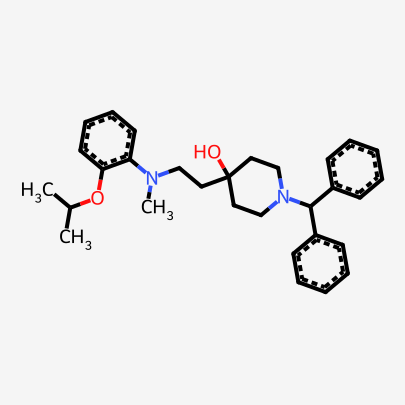 CC(C)Oc1ccccc1N(C)CCC1(O)CCN(C(c2ccccc2)c2ccccc2)CC1